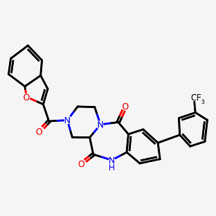 O=C1Nc2ccc(-c3cccc(C(F)(F)F)c3)cc2C(=O)N2CCN(C(=O)C3=CC4C=CC=CC4O3)CC12